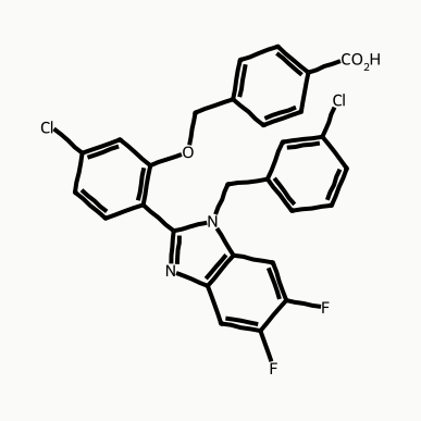 O=C(O)c1ccc(COc2cc(Cl)ccc2-c2nc3cc(F)c(F)cc3n2Cc2cccc(Cl)c2)cc1